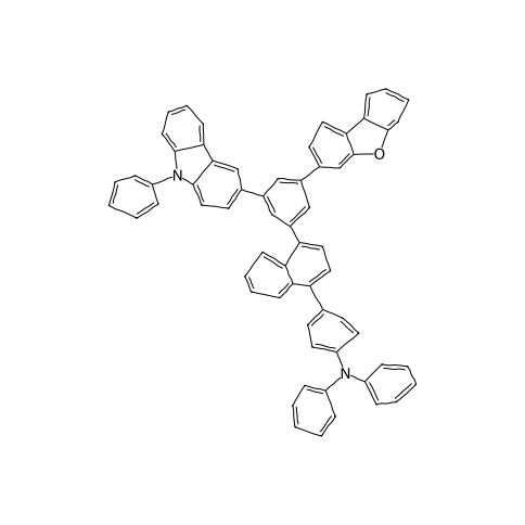 c1ccc(N(c2ccccc2)c2ccc(-c3ccc(-c4cc(-c5ccc6c(c5)oc5ccccc56)cc(-c5ccc6c(c5)c5ccccc5n6-c5ccccc5)c4)c4ccccc34)cc2)cc1